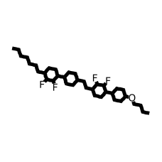 CCCCCCCC1CCC(C2CCC(CCC3CCC(C4CCC(OCCCC)CC4)C(F)C3F)CC2)C(F)C1F